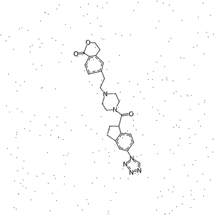 O=C1OCCc2cc(CCN3CCN(C(=O)C4CCc5cc(-n6cnnn6)ccc54)CC3)ccc21